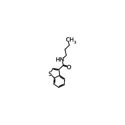 CCCCNC(=O)c1csc2ccccc12